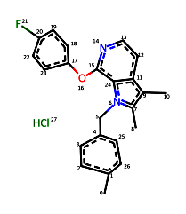 Cc1ccc(Cn2c(C)c(C)c3ccnc(Oc4ccc(F)cc4)c32)cc1.Cl